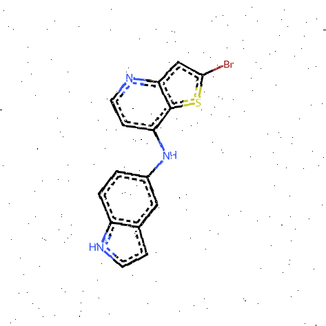 Brc1cc2nccc(Nc3ccc4[nH]ccc4c3)c2s1